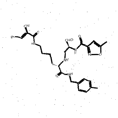 Cc1ccc(CNC(=O)[C@H](CCCCNC(=O)C(C#N)=CC(C)C)NC[C@@H](C=O)NC(=O)c2cc(C)on2)cc1